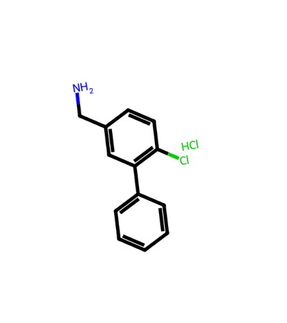 Cl.NCc1ccc(Cl)c(-c2ccccc2)c1